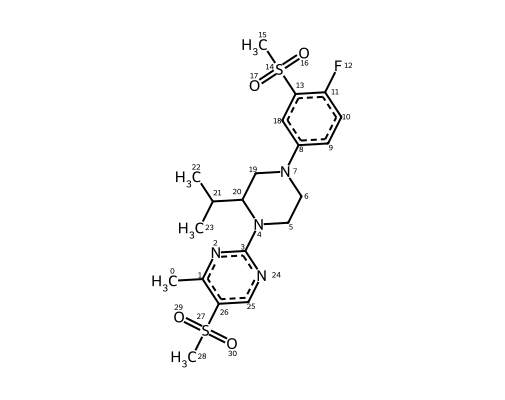 Cc1nc(N2CCN(c3ccc(F)c(S(C)(=O)=O)c3)CC2C(C)C)ncc1S(C)(=O)=O